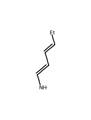 CCC=CC=C[NH]